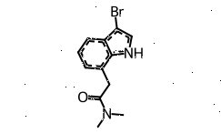 CN(C)C(=O)Cc1cccc2c(Br)c[nH]c12